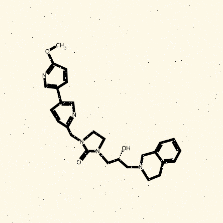 COc1ccc(-c2ccc(CN3CCN(C[C@H](O)CN4CCc5ccccc5C4)C3=O)nc2)cn1